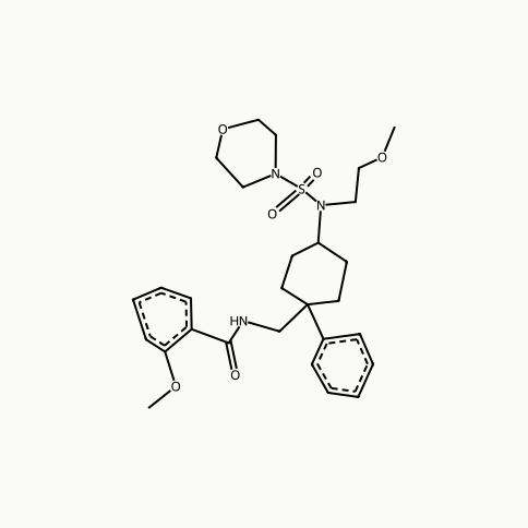 COCCN(C1CCC(CNC(=O)c2ccccc2OC)(c2ccccc2)CC1)S(=O)(=O)N1CCOCC1